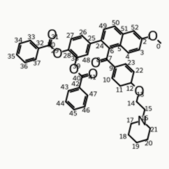 COc1ccc2c(C(=O)C3=CCC(OCCN4CCCCC4)C=C3)c(-c3ccc(OC(=O)c4ccccc4)c(OC(=O)c4ccccc4)c3)ccc2c1